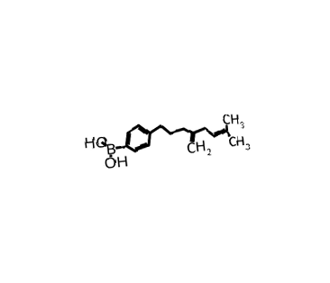 C=C(CC=C(C)C)CCCc1ccc(B(O)O)cc1